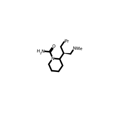 CNC[C@H](CC(C)C)C1CCCCN1C(N)=O